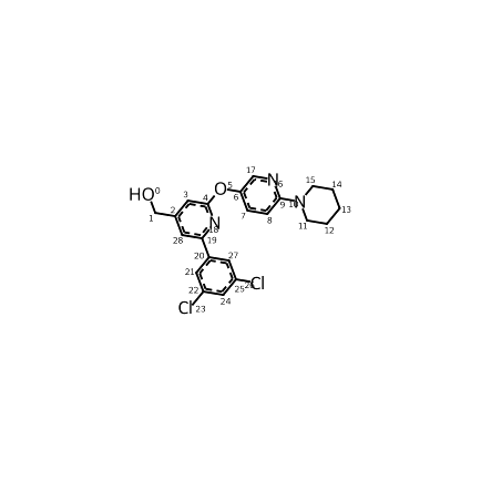 OCc1cc(Oc2ccc(N3CCCCC3)nc2)nc(-c2cc(Cl)cc(Cl)c2)c1